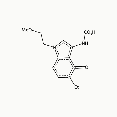 CCn1ccc2c(c(NC(=O)O)cn2CCOC)c1=O